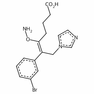 NOC(CCCC(=O)O)=C(Cn1ccnc1)c1cccc(Br)c1